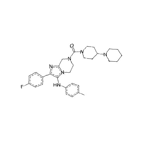 Cc1ccc(Nc2c(-c3ccc(F)cc3)nc3n2CCN(C(=O)N2CCC(N4CCCCC4)CC2)C3)cc1